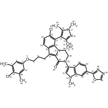 Cc1cc(OCCCc2c3n(c4c(-c5c(C)nn(C)c5C)c(Cl)ccc24)[C@H](C)CN(c2cn(C)c4cc(-c5nnco5)ccc24)C3=O)cc(C)c1Cl